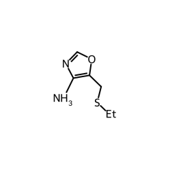 CCSCc1ocnc1C.N